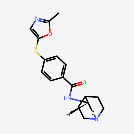 Cc1ncc(Sc2ccc(C(=O)N[C@H]3CN4CCC3CC4)cc2)o1